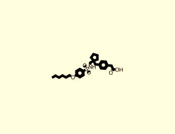 CCCCCCOc1ccc(S(=O)(=O)NCC2(Cc3ccc(CC(=O)O)cc3)CCCC2)cc1